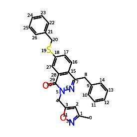 Cc1cc(Cn2nc(Cc3ccccc3)c3ccc(SCc4ccccc4)cc3c2=O)on1